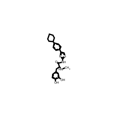 CNC(Cc1ccc(O)c(O)c1)C(=O)Nc1nc(-c2ccc(C3CCCCC3)cc2)cs1